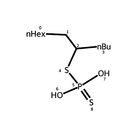 CCCCCCCC(CCCC)SP(O)(O)=S